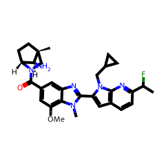 COc1cc(C(=O)N2C[C@@]3(C)CC[C@@H]2[C@@H]3N)cc2nc(-c3cc4ccc(C(C)F)nc4n3CC3CC3)n(C)c12